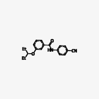 CCC(CC)Oc1cccc(C(=O)Nc2ccc(C#N)cc2)c1